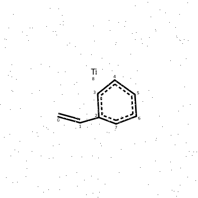 C=Cc1ccccc1.[Ti]